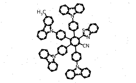 Cc1ccc2c(c1)c1ccccc1n2-c1ccc(-c2c(-c3ccc(-n4c5ccccc5c5ccccc54)cc3)c(-c3ccc(-n4c5ccccc5c5ccccc54)cc3)c(C#N)c(-c3nc4ccccc4s3)c2-c2ccc(-n3c4ccccc4c4ccccc43)cc2)cc1